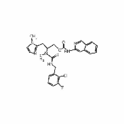 CN(C(=O)NCc1cccc(F)c1Cl)C(COC(=O)Nc1cc2ccccc2cn1)Cc1nccn1C